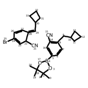 CC1(C)OB(c2ccc(CC3CCC3)c(C#N)c2)OC1(C)C.N#CC1C=C(Br)C=CC1=CC1CCC1